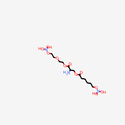 NC(COC(=O)CCCCCON(O)O)C(=O)OCCOCCON(O)O